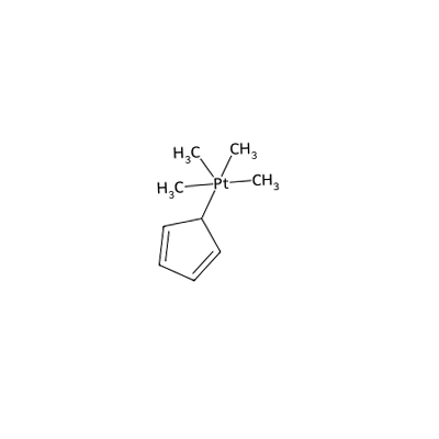 [CH3][Pt]([CH3])([CH3])([CH3])[CH]1C=CC=C1